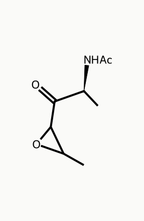 CC(=O)N[C@@H](C)C(=O)C1OC1C